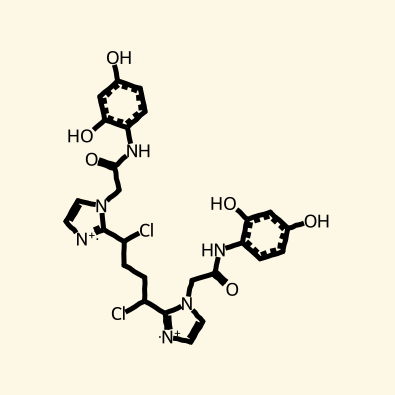 O=C(CN1C=C[N+]=C1C(Cl)CCC(Cl)C1=[N+]C=CN1CC(=O)Nc1ccc(O)cc1O)Nc1ccc(O)cc1O